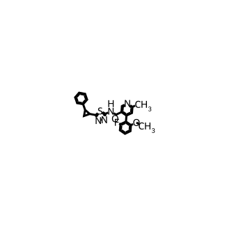 COc1cccc(F)c1-c1cc(C)ncc1C(=O)Nc1nnc(C2CC2c2ccccc2)s1